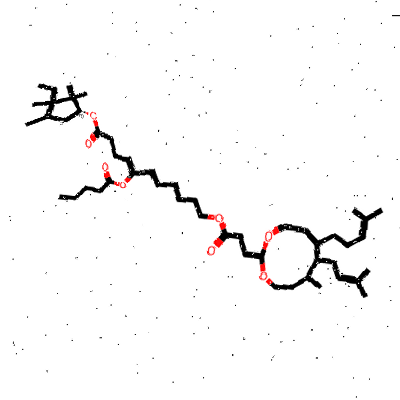 CCCCC(=O)OC(CCCCCCOC(=O)CCC1OCCC(C)C(CC=C(C)C)C(CCC=C(C)C)CCO1)CCCC(=O)O[C@@H]1CC(C)C(C)(CC)C1(C)C